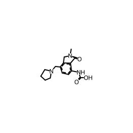 CN1Cc2c(CN3CCCC3)ccc(NC(=O)O)c2C1=O